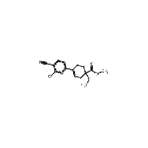 COC(=O)C1(OC)CC=C(c2ccc(C#N)c(Cl)n2)CC1